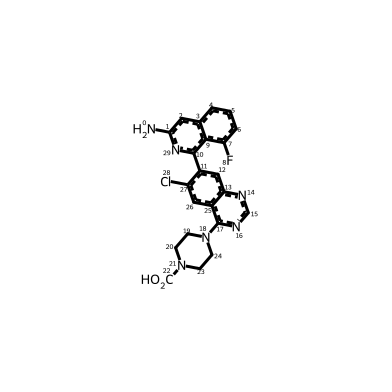 Nc1cc2cccc(F)c2c(-c2cc3ncnc(N4CCN(C(=O)O)CC4)c3cc2Cl)n1